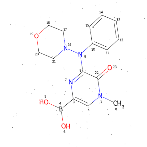 Cn1cc(B(O)O)nc(N(c2ccccc2)N2CCOCC2)c1=O